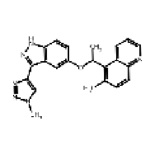 Cc1ccc2ncccc2c1C(C)Oc1ccc2[nH]nc(-c3cn(C)nn3)c2c1